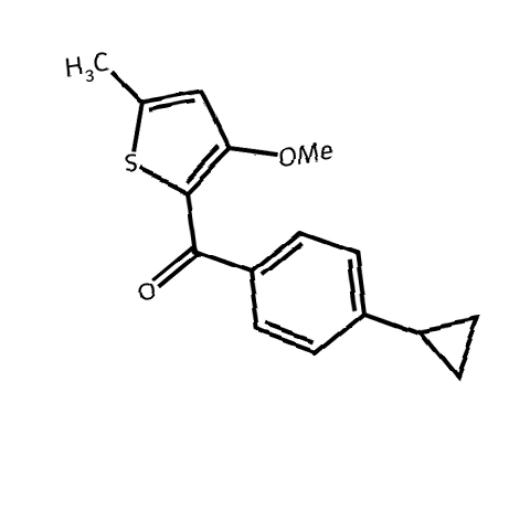 COc1cc(C)sc1C(=O)c1ccc(C2CC2)cc1